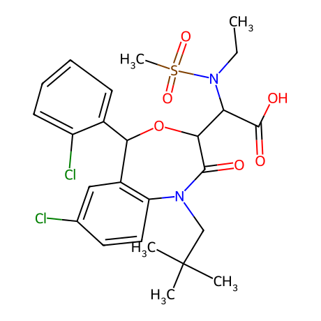 CCN(C(C(=O)O)C1OC(c2ccccc2Cl)c2cc(Cl)ccc2N(CC(C)(C)C)C1=O)S(C)(=O)=O